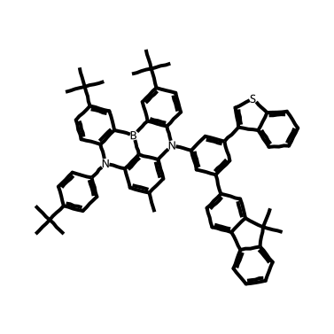 Cc1cc2c3c(c1)N(c1cc(-c4ccc5c(c4)C(C)(C)c4ccccc4-5)cc(-c4csc5ccccc45)c1)c1ccc(C(C)(C)C)cc1B3c1cc(C(C)(C)C)ccc1N2c1ccc(C(C)(C)C)cc1